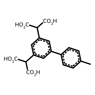 Cc1ccc(-c2cc(C(C(=O)O)C(=O)O)cc(C(C(=O)O)C(=O)O)c2)cc1